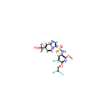 COc1nc(OCC(F)F)c(F)cc1NS(=O)(=O)c1cnc2cc(C(C)(C)O)ccn12